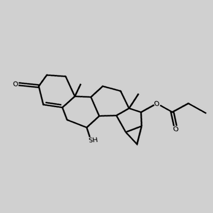 CCC(=O)OC1C2CC2C2C3C(S)CC4=CC(=O)CCC4(C)C3CCC12C